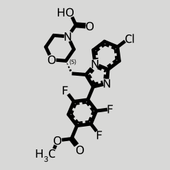 COC(=O)c1cc(F)c(-c2nc3cc(Cl)ccn3c2C[C@H]2CN(C(=O)O)CCO2)c(F)c1F